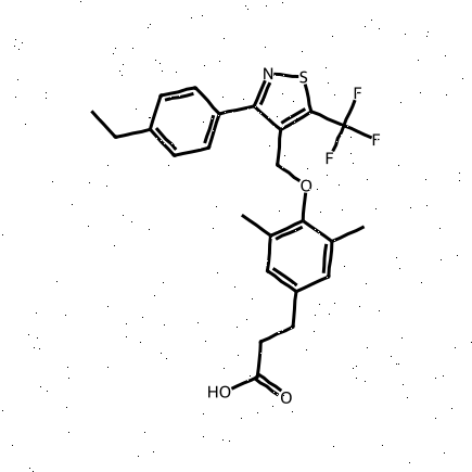 CCc1ccc(-c2nsc(C(F)(F)F)c2COc2c(C)cc(CCC(=O)O)cc2C)cc1